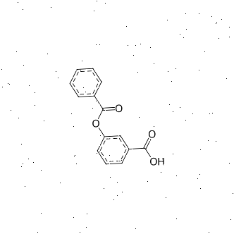 O=C(O)c1cccc(OC(=O)c2ccccc2)c1